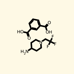 NC1CCN(CC(F)(F)F)CC1.O=C(O)c1cccc(C(=O)O)c1